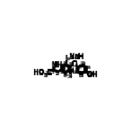 N[C@@H](CC1=CC(I)=C(Oc2ccc(O)cc2)C(I)(I)C1)C(=O)O.[NaH]